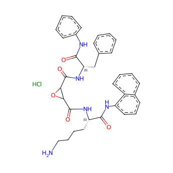 Cl.NCCCC[C@H](NC(=O)C1OC1C(=O)N[C@@H](Cc1ccccc1)C(=O)Nc1ccccc1)C(=O)Nc1cccc2ccccc12